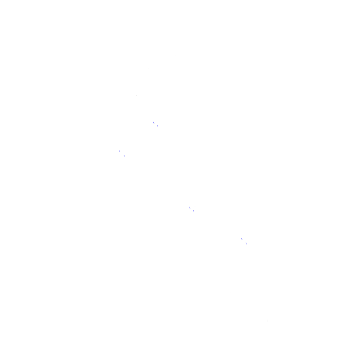 Cc1cnc(Cn2ccc3c(Nc4c(Cl)cc(F)cc4Cl)nccc32)o1